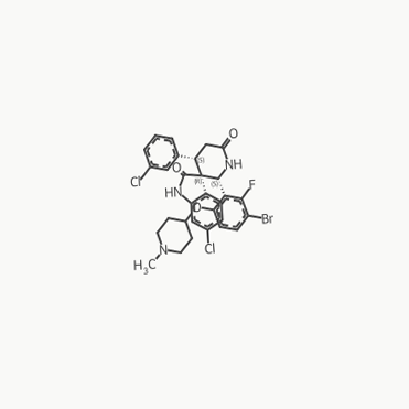 CN1CCC(Oc2ccc(Br)c(F)c2[C@H]2NC(=O)C[C@@H](c3cccc(Cl)c3)[C@]23C(=O)Nc2cc(Cl)ccc23)CC1